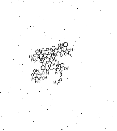 CC[C@H](C)[C@@H]([C@@H](CC(=O)N1CCC[C@H]1[C@H](OC)[C@@H](C)C(=O)N[C@H](C)[C@@H](O)c1ccccc1)OC)N(C)C(=O)[C@@H](NC(=O)[C@H](C(C)C)N(C)C(=O)OCc1ccc(O[C@@H]2O[C@H](C(=O)O)[C@@H](O)[C@H](O)[C@H]2O)c(NC(=O)CCNC(=O)C2(N3C(=O)C=CC3O)CN(CCOC)C2)c1)C(C)C